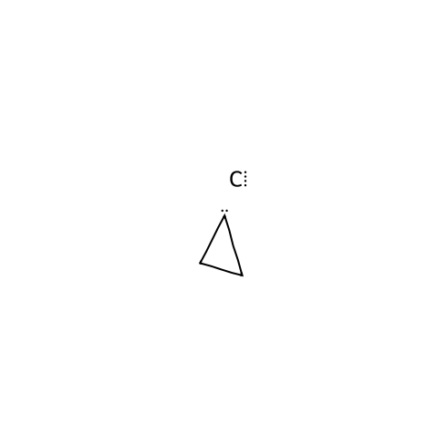 [C].[C]1CC1